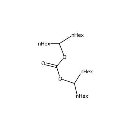 CCCCCCC(CCCCCC)OC(=O)OC(CCCCCC)CCCCCC